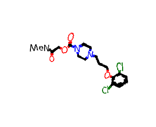 CNC(=O)COC(=O)N1CCN(CCCOc2c(Cl)cccc2Cl)CC1